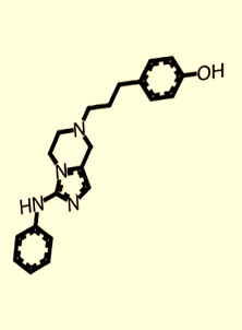 Oc1ccc(CCCN2CCn3c(cnc3Nc3ccccc3)C2)cc1